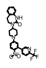 O=C1Nc2ccccc2CCN1C1CCN(c2ccc([N+](=O)[O-])c(-c3ccc(C(F)(F)F)nc3)c2)CC1